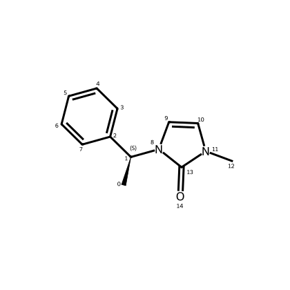 C[C@@H](c1ccccc1)n1ccn(C)c1=O